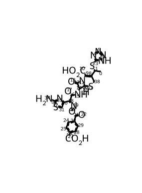 CC(Sc1nnn[nH]1)C1=C(C(=O)O)N2C(=O)C(NC(=O)C(=NOC(=O)c3ccc(C(=O)O)cc3)c3csc(N)n3)[C@@H]2SC1